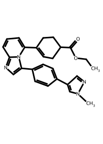 CCOC(=O)C1CC=C(c2cccc3ncc(-c4ccc(-c5cnn(C)c5)cc4)n23)CC1